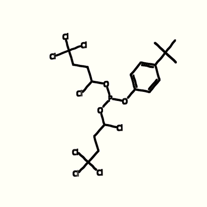 CC(C)(C)c1ccc(OP(OC(Cl)CCC(Cl)(Cl)Cl)OC(Cl)CCC(Cl)(Cl)Cl)cc1